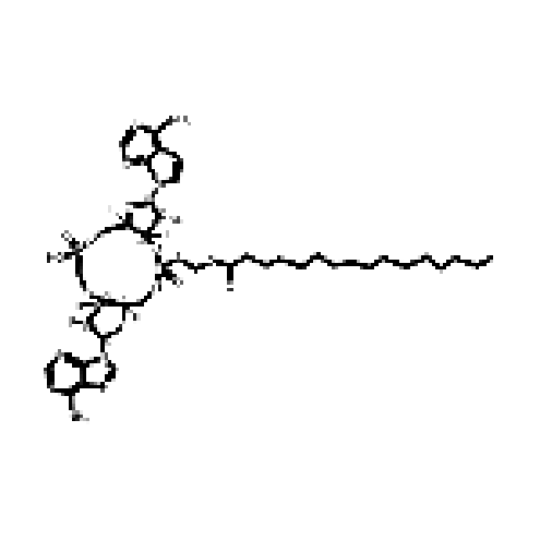 CCCCCCCCCCCCCCCC(=O)OCSP1(=O)OC[C@H]2O[C@@H](n3cnc4c(N)ncnc43)[C@H](F)[C@@H]2OCP(=O)(O)OC[C@H]2O[C@@H](n3cnc4c(N)ncnc43)[C@H](F)[C@@H]2O1